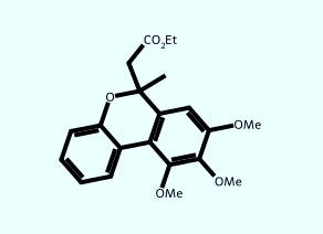 CCOC(=O)CC1(C)Oc2ccccc2-c2c1cc(OC)c(OC)c2OC